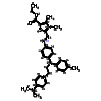 CCOC(=O)c1sc(/N=N/c2ccc(N(CC[n+]3ccc(N(C)C)cc3)c3ccc(C)cc3)cc2)[n+](C)c1C